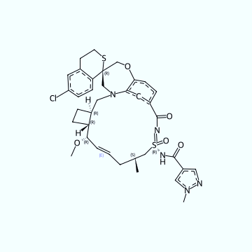 CO[C@H]1/C=C/C[C@H](C)C[S@@](=O)(NC(=O)c2cnn(C)c2)=NC(=O)c2ccc3c(c2)N(C[C@@H]2CC[C@H]21)C[C@]1(CO3)SCCc2cc(Cl)ccc21